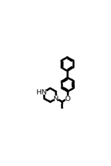 CC(Oc1ccc(-c2ccccc2)cc1)N1CCNCC1